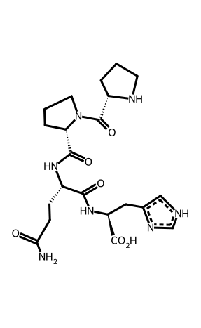 NC(=O)CC[C@H](NC(=O)[C@@H]1CCCN1C(=O)[C@@H]1CCCN1)C(=O)N[C@@H](Cc1c[nH]cn1)C(=O)O